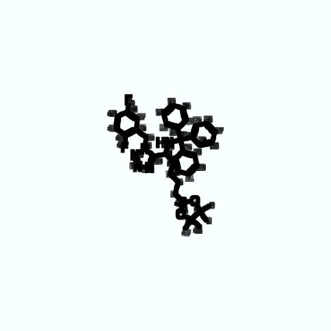 CC1(C)OB(CCCCC(NC(c2ccccc2)(c2ccccc2)c2ccccc2)c2nnnn2Cc2cc(F)ccc2F)OC1(C)C